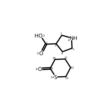 O=C(O)C1CCNC1.O=C1CCCCS1